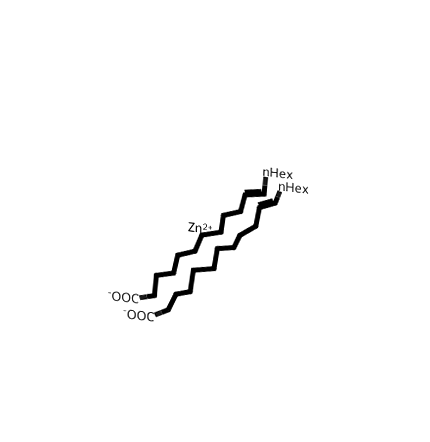 CCCCCCC=CCCCCCCCCCC(=O)[O-].CCCCCCC=CCCCCCCCCCC(=O)[O-].[Zn+2]